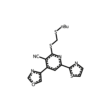 CCCCSCSc1nc(-c2nccs2)cc(-c2cocn2)c1C#N